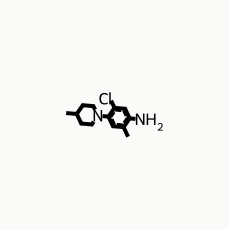 Cc1cc(N2CCC(C)CC2)c(Cl)cc1N